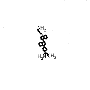 C=C/C=C(\CN)C1=CCC(C2CCC(C3=C4C=CC=CC4[C@H](CCC/C=C\N)C=C3)C3CCCCC23)CC1